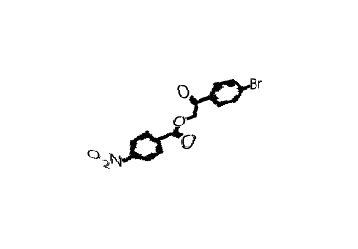 O=C(COC(=O)c1ccc([N+](=O)[O-])cc1)c1ccc(Br)cc1